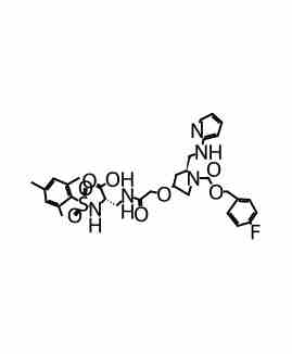 Cc1cc(C)c(S(=O)(=O)N[C@@H](CNC(=O)CO[C@@H]2C[C@@H](CNc3ccccn3)N(C(=O)OCc3ccc(F)cc3)C2)C(=O)O)c(C)c1